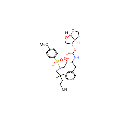 COc1ccc(S(=O)(=O)N(C[C@@H](O)C(Cc2ccccc2)NC(=O)O[C@@H]2CO[C@H]3OCC[C@H]32)CC(C)(C)CCC#N)cc1